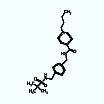 CCCCc1ccc(C(=O)NCc2ccc(CNS(=O)(=O)C(C)(C)C)cc2)cc1